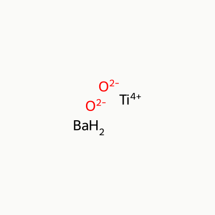 [BaH2].[O-2].[O-2].[Ti+4]